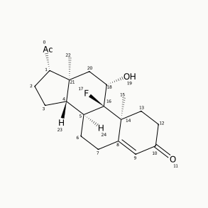 CC(=O)[C@H]1CC[C@H]2[C@@H]3CCC4=CC(=O)CC[C@]4(C)[C@@]3(F)[C@@H](O)C[C@]12C